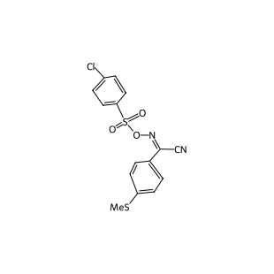 CSc1ccc(/C(C#N)=N\OS(=O)(=O)c2ccc(Cl)cc2)cc1